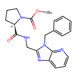 CC(C)(C)OC(=O)N1CCC[C@@H]1C(=O)NCc1nc2cccnc2n1Cc1ccccc1